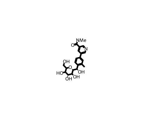 CNC(=O)c1cncc(-c2ccc([C@@H](O)[C@H]3OC(CO)C(O)[C@@H](O)C3O)c(C)c2)c1